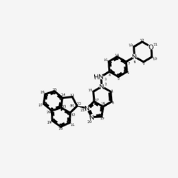 C1=CN(Nc2ccc(N3CCOCC3)cc2)Cc2c1cnn2[C@@H]1Cc2cccc3cccc1c23